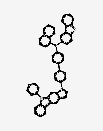 c1ccc(-n2c3ccccc3c3cc4ccn(-c5ccc(-c6ccc(N(c7ccc8sc9ccccc9c8c7)c7cccc8ccccc78)cc6)cc5)c4cc32)cc1